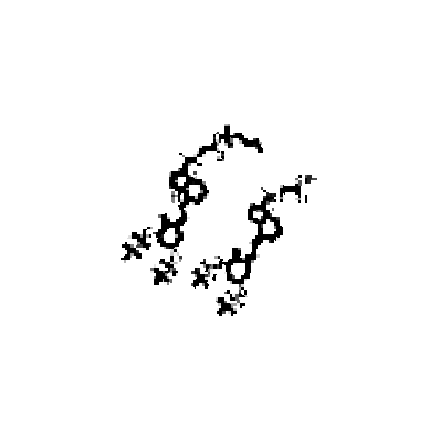 C=C1C(=CC=C2CCC[C@]3(C)C([C@H](C)OCC(=O)O)=CCC23)C[C@@H](O[Si](C)(C)C(C)(C)C)C[C@@H]1O[Si](C)(C)C(C)(C)C.C=C1C(=CC=C2CCC[C@]3(C)C([C@H](C)OCC(=O)OC(C)(C)CCCC)=CC[C@@H]23)C[C@@H](O[Si](C)(C)C(C)(C)C)C[C@@H]1O[Si](C)(C)C(C)(C)C